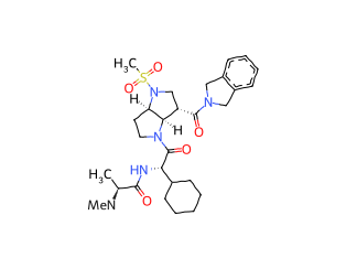 CN[C@@H](C)C(=O)N[C@H](C(=O)N1CC[C@@H]2[C@H]1[C@@H](C(=O)N1Cc3ccccc3C1)CN2S(C)(=O)=O)C1CCCCC1